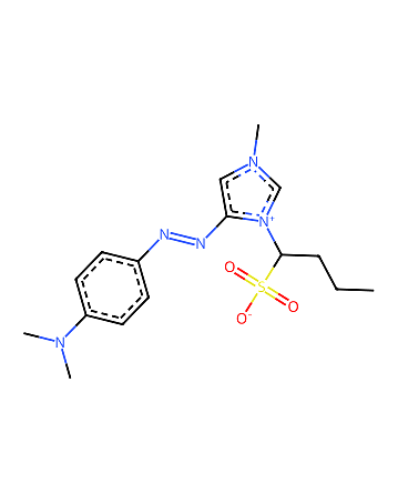 CCCC([n+]1cn(C)cc1/N=N/c1ccc(N(C)C)cc1)S(=O)(=O)[O-]